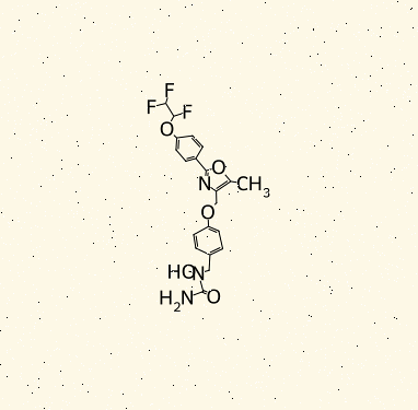 Cc1oc(-c2ccc(OC(F)C(F)F)cc2)nc1COc1ccc(CN(O)C(N)=O)cc1